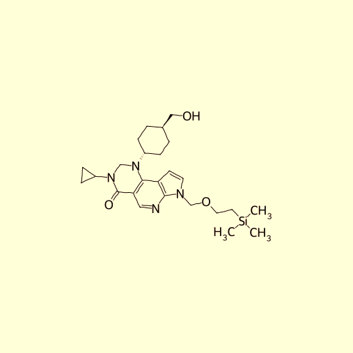 C[Si](C)(C)CCOCn1ccc2c3c(cnc21)C(=O)N(C1CC1)CN3[C@H]1CC[C@H](CO)CC1